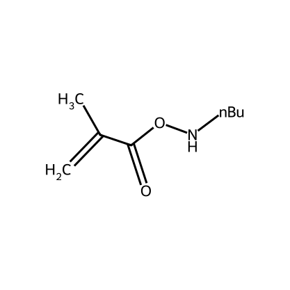 C=C(C)C(=O)ONCCCC